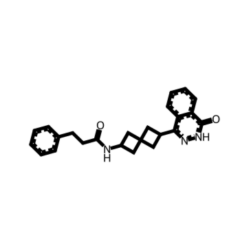 O=C(CCc1ccccc1)NC1CC2(C1)CC(c1n[nH]c(=O)c3ccccc13)C2